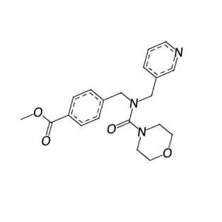 COC(=O)c1ccc(CN(Cc2cccnc2)C(=O)N2CCOCC2)cc1